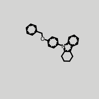 c1ccc(COc2ccc(-n3c4c(c5ccccc53)CCCC4)cc2)cc1